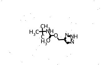 CC(C)(C)NC(=O)OCc1cn[nH]n1